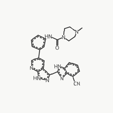 CN1CCN(C(=O)Nc2cccc(-c3cnc4[nH]nc(-c5nc6c(C#N)cccc6[nH]5)c4c3)c2)CC1